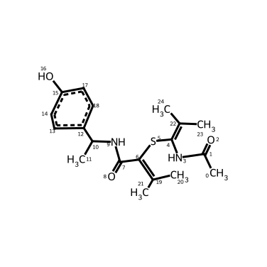 CC(=O)NC(SC(C(=O)NC(C)c1ccc(O)cc1)=C(C)C)=C(C)C